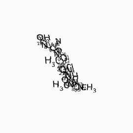 Cc1c(-c2nc3cc(CN4CC(O)C4)cc(C#N)c3o2)cccc1-c1cccc(NC(=O)c2nc3c(n2C)CCN(C)C3)c1Cl